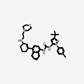 Cc1ccc(-n2nc(C(C)(C)C)cc2NC(=O)Nc2ccc(C3=CC(NCCN4CCOCC4)CCC3)c3ccccc23)cc1